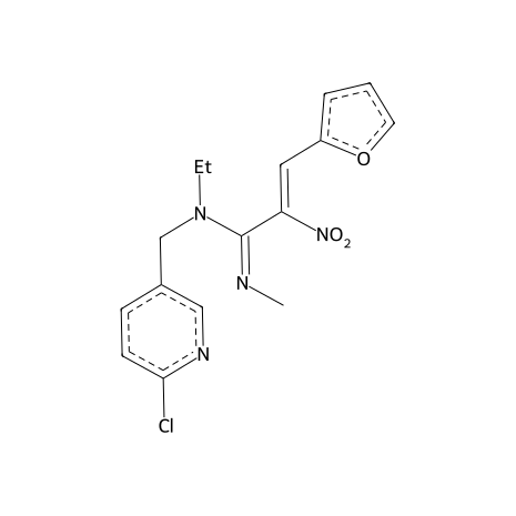 CCN(Cc1ccc(Cl)nc1)C(=NC)C(=Cc1ccco1)[N+](=O)[O-]